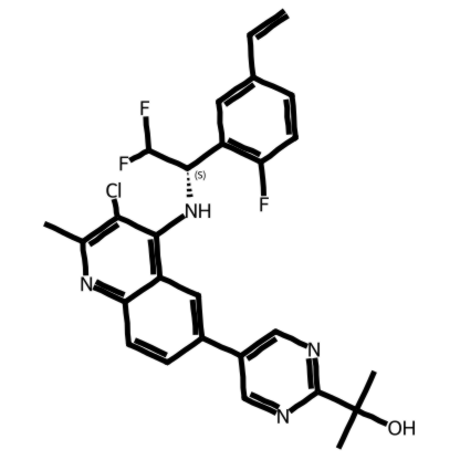 C=Cc1ccc(F)c([C@H](Nc2c(Cl)c(C)nc3ccc(-c4cnc(C(C)(C)O)nc4)cc23)C(F)F)c1